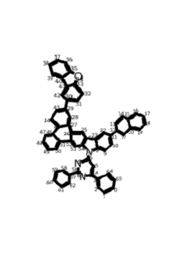 c1ccc(-c2cc(-n3c4ccc(-c5ccc6ccccc6c5)cc4c4cc5c6cc(-c7ccc8oc9ccccc9c8c7)ccc6c6ccccc6c5cc43)nc(-c3ccccc3)n2)cc1